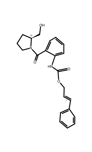 O=C(Nc1ccccc1C(=O)N1CCC[C@H]1CO)OC/C=C/c1ccccc1